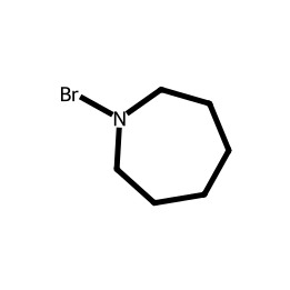 BrN1CCCCCC1